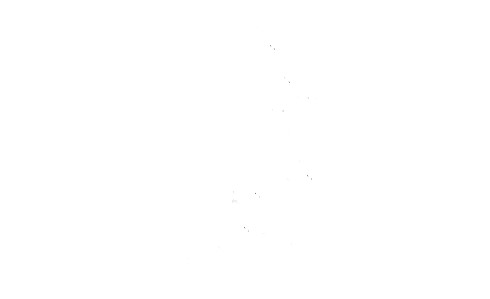 Cc1[nH]c2ccc(C(=O)C(=O)N3CCN(C)CC3)cc2c1C(=O)N1C[C@H](C)N(Cc2ccc(F)cc2)C[C@H]1C